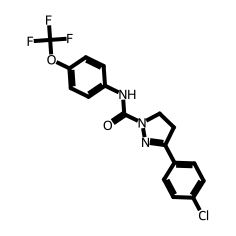 O=C(Nc1ccc(OC(F)(F)F)cc1)N1CCC(c2ccc(Cl)cc2)=N1